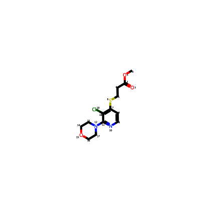 COC(=O)CCSc1ccnc(N2CCOCC2)c1Cl